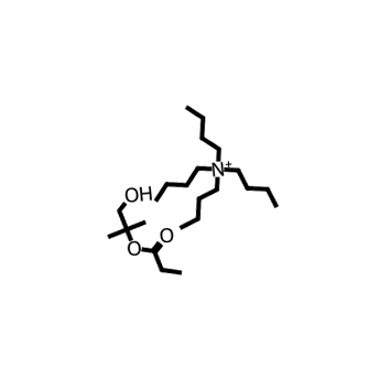 CCC(=O)OC(C)(C)CO.CCCC[N+](CCCC)(CCCC)CCCC